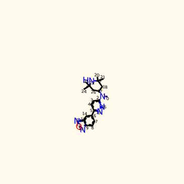 CN(c1ccc(-c2ccc3nonc3c2)nn1)C1CC(C)(C)NC(C)(C)C1